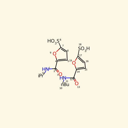 CC(C)NC(=O)c1ccc(S(=O)(=O)O)o1.CCCCNC(=O)c1ccc(S(=O)(=O)O)o1